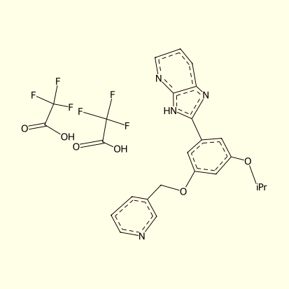 CC(C)Oc1cc(OCc2cccnc2)cc(-c2nc3cccnc3[nH]2)c1.O=C(O)C(F)(F)F.O=C(O)C(F)(F)F